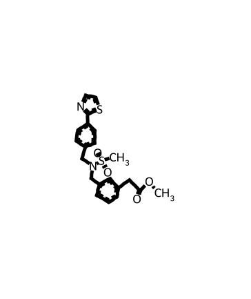 COC(=O)Cc1cccc(CN(Cc2ccc(-c3nccs3)cc2)S(C)(=O)=O)c1